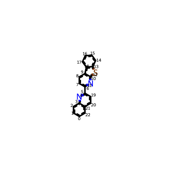 c1ccc2nc(-c3ccc4c(n3)sc3ccccc34)ccc2c1